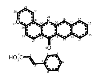 O=C(O)C=Cc1ccccc1.O=c1c2cc3ccccc3cc2nc2c1ccc1occcc12